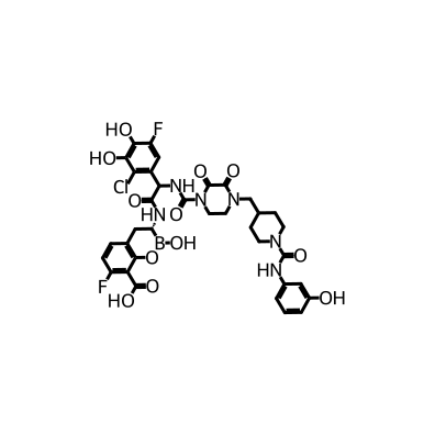 O=C(O)c1c(F)ccc2c1OB(O)[C@@H](NC(=O)C(NC(=O)N1CCN(CC3CCN(C(=O)Nc4cccc(O)c4)CC3)C(=O)C1=O)c1cc(F)c(O)c(O)c1Cl)C2